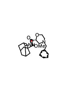 COC(=O)C12CC3CC(C1)C(NC(=O)[C@@H]1CN(Cc4ccccc4)CCO1)C(C3)C2